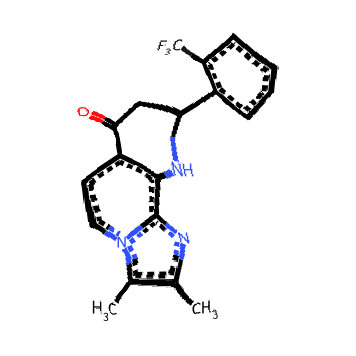 Cc1nc2c3c(ccn2c1C)C(=O)CC(c1ccccc1C(F)(F)F)N3